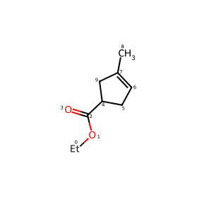 CCOC(=O)C1CC=C(C)C1